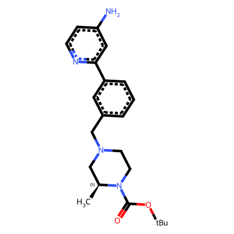 C[C@H]1CN(Cc2cccc(-c3cc(N)ccn3)c2)CCN1C(=O)OC(C)(C)C